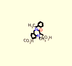 CC(c1ccccc1)N1Cc2ccc(C(=O)O)cc2N(C)C(CC(=O)O)C1=O